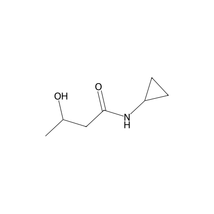 CC(O)CC(=O)NC1CC1